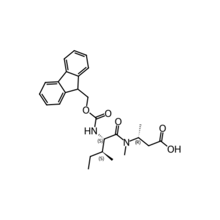 CC[C@H](C)[C@H](NC(=O)OCC1c2ccccc2-c2ccccc21)C(=O)N(C)[C@H](C)CC(=O)O